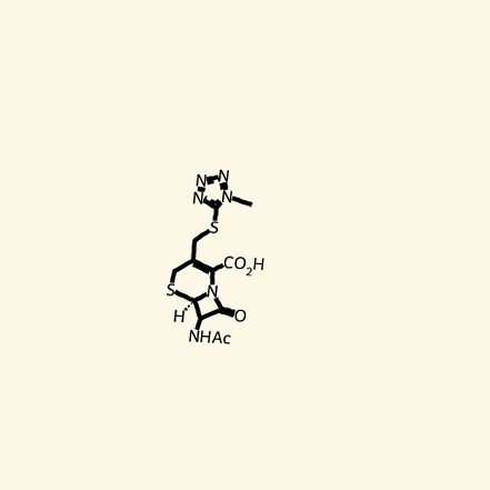 CC(=O)NC1C(=O)N2C(C(=O)O)=C(CSc3nnnn3C)CS[C@H]12